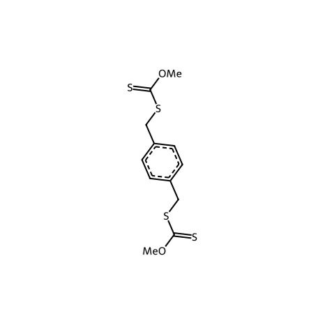 COC(=S)SCc1ccc(CSC(=S)OC)cc1